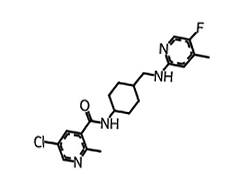 Cc1cc(NCC2CCC(NC(=O)c3cc(Cl)cnc3C)CC2)ncc1F